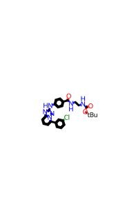 CC(C)(C)OC(=O)NCCNC(=O)c1ccc(Nc2nc3cccc(-c4cccc(Cl)c4)n3n2)cc1